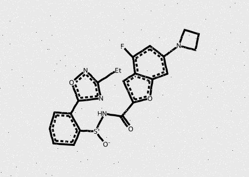 CCc1noc(-c2ccccc2[S+]([O-])NC(=O)c2cc3c(F)cc(N4CCC4)cc3o2)n1